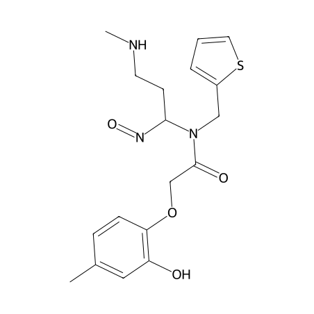 CNCCC(N=O)N(Cc1cccs1)C(=O)COc1ccc(C)cc1O